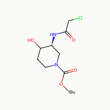 CC(C)(C)OC(=O)N1CCC(O)[C@@H](NC(=O)CCl)C1